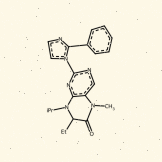 CCC1C(=O)N(C)c2cnc(-n3ccnc3-c3ccccc3)nc2N1C(C)C